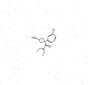 CCN(CC)C(=O)[C@]1(c2cccc(Cl)c2)C[C@H](O)C1